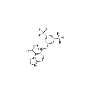 O=C(O)c1c(NCc2cc(C(F)(F)F)cc(C(F)(F)F)c2)ccc2nccn12